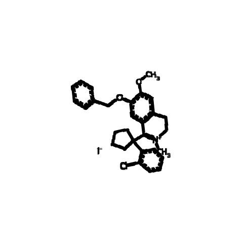 COc1cc2c(cc1OCc1ccccc1)C(C1(c3ccccc3Cl)CCCC1)=[N+](C)CC2.[I-]